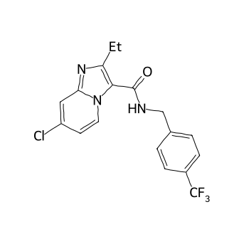 CCc1nc2cc(Cl)ccn2c1C(=O)NCc1ccc(C(F)(F)F)cc1